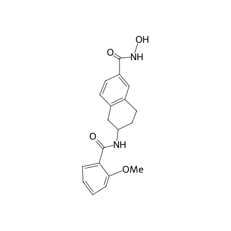 COc1ccccc1C(=O)NC1CCc2cc(C(=O)NO)ccc2C1